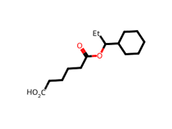 CCC(OC(=O)CCCCC(=O)O)C1CCCCC1